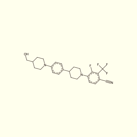 N#Cc1ccc(N2CCC(c3ccc(N4CCC(CO)CC4)cc3)CC2)c(F)c1C(F)(F)F